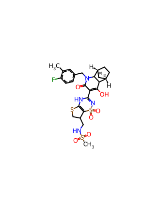 Cc1cc(CN2C(=O)C(C3=NS(=O)(=O)C4=C(N3)SCC4CNS(C)(=O)=O)=C(O)C3C2[C@@H]2CC[C@H]3C2)ccc1F